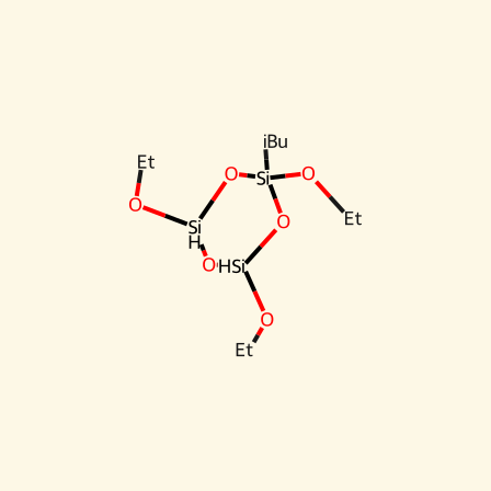 CCO[SiH]1O[SiH](OCC)O[Si](OCC)(C(C)CC)O1